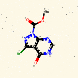 CC(C)(C)OC(=O)n1nc(Br)c2c(=O)[nH]cnc21